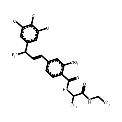 CC(NC(=O)c1ccc(/C=C/C(c2cc(Cl)c(Cl)c(Cl)c2)C(F)(F)F)cc1[N+](=O)[O-])C(=O)NCC(F)(F)F